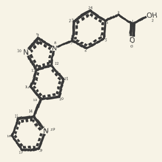 O=C(O)Cc1ccc(-n2cnc3cc(-c4ccccn4)ccc32)cc1